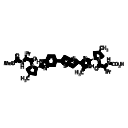 COC(=O)N[C@H](C(=O)N1C[C@@H](C)C[C@H]1c1nc2cc(-c3cc4sc(-c5nc([C@@H]6C[C@H](C)CN6C(=O)[C@@H](NC(=O)O)C(C)C)[nH]c5C)cc4s3)ccc2[nH]1)C(C)C